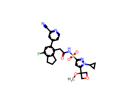 COC1(c2cc(S(=O)(=O)NC(=O)Cc3c(-c4ccnc(C#N)c4)cc(F)c4c3CCC4)nn2C2CC2)COC1